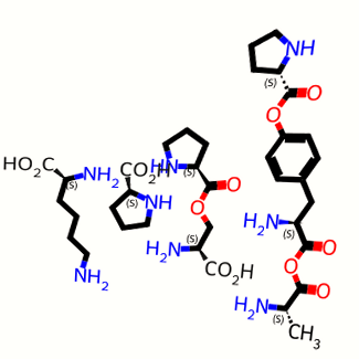 C[C@H](N)C(=O)OC(=O)[C@@H](N)Cc1ccc(OC(=O)[C@@H]2CCCN2)cc1.NCCCC[C@H](N)C(=O)O.N[C@@H](COC(=O)[C@@H]1CCCN1)C(=O)O.O=C(O)[C@@H]1CCCN1